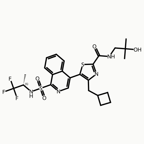 C[C@H](NS(=O)(=O)c1ncc(-c2sc(C(=O)NCC(C)(C)O)nc2CC2CCC2)c2ccccc12)C(F)(F)F